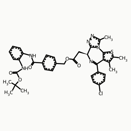 Cc1sc2c(c1C)C(c1ccc(Cl)cc1)=N[C@@H](CC(=O)OCc1ccc(C(=O)Nc3ccccc3NC(=O)OC(C)(C)C)cc1)c1nnc(C)n1-2